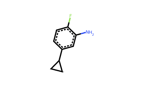 Nc1cc(C2[CH]C2)ccc1F